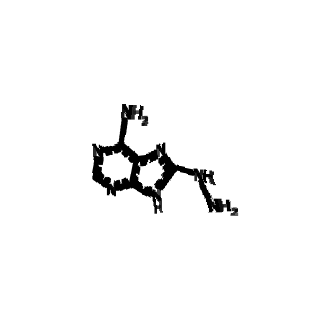 NNc1nc2c(N)ncnc2[nH]1